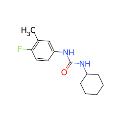 Cc1cc(NC(=O)NC2CCCCC2)ccc1F